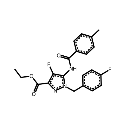 CCOC(=O)c1nn(Cc2ccc(F)cc2)c(NC(=O)c2ccc(C)cc2)c1F